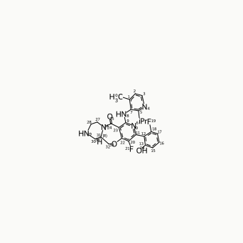 Cc1ccnc(C(C)C)c1Nc1nc(-c2c(O)cccc2F)c(F)c2c1C(=O)N1CCNC[C@@H]1CO2